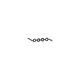 CCCCCC1CCC(c2ccc(-c3ccc(C4CCC(CCCC)CC4)cc3)cc2)CC1